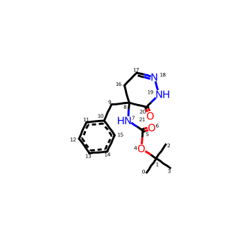 CC(C)(C)OC(=O)NC1(Cc2ccccc2)CC=NNC1=O